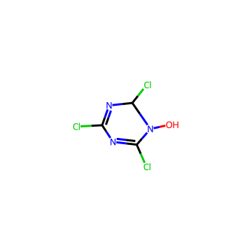 ON1C(Cl)=NC(Cl)=NC1Cl